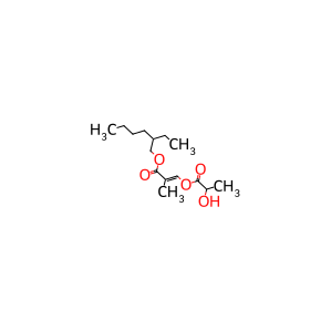 CCCCC(CC)COC(=O)C(C)=COC(=O)C(C)O